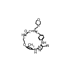 Cc1cc2ccc1OCCCNC(=O)CCN(CCN1CCOCC1)Cc1ccc(cc1)Nc1nc(ncc1C#N)N2